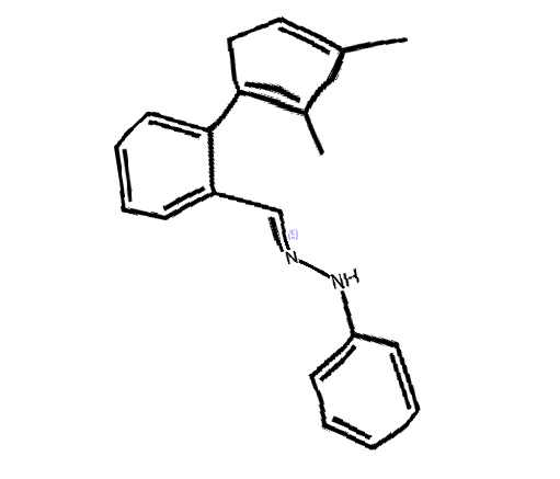 CC1=CCC(c2ccccc2/C=N/Nc2ccccc2)=C1C